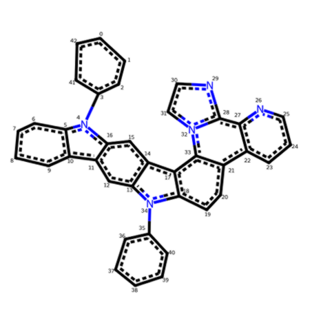 c1ccc(-n2c3ccccc3c3cc4c(cc32)c2c(ccc3c5cccnc5c5nccn5c32)n4-c2ccccc2)cc1